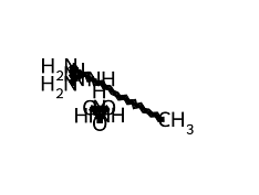 CCCCCCCCCCCCCCCCCCNCCc1nc(N)nc(N)n1.O=c1[nH]c(=O)[nH]c(=O)[nH]1